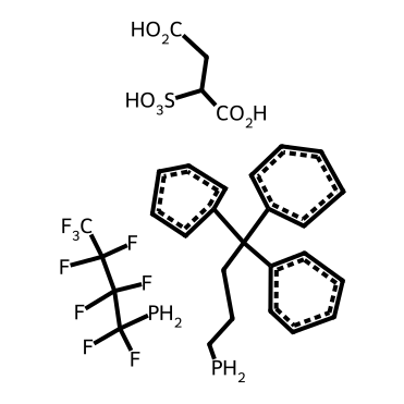 FC(F)(F)C(F)(F)C(F)(F)C(F)(F)P.O=C(O)CC(C(=O)O)S(=O)(=O)O.PCCCC(c1ccccc1)(c1ccccc1)c1ccccc1